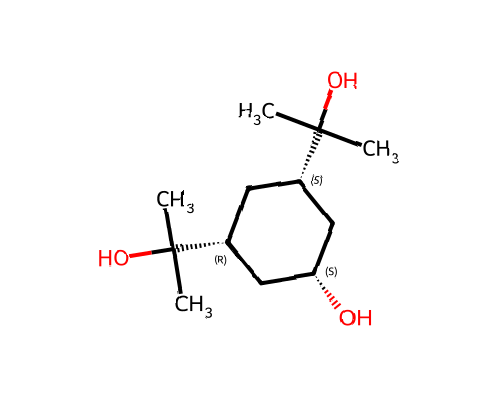 CC(C)(O)[C@@H]1C[C@H](O)C[C@H](C(C)(C)O)C1